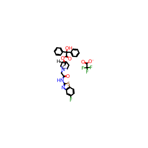 O=C(C[N+]12CCC(CC1)[C@@H](OC(=O)C(O)(c1ccccc1)c1ccccc1)C2)Nc1nc2cc(F)ccc2s1.O=C([O-])C(F)(F)F